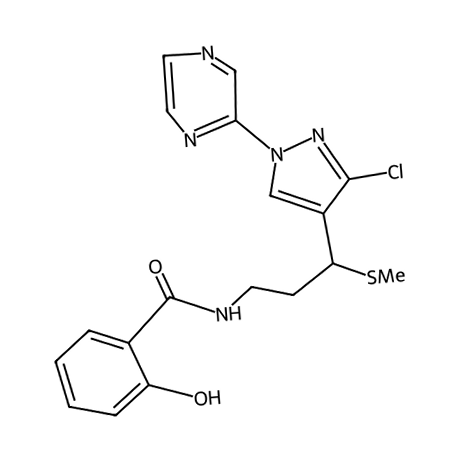 CSC(CCNC(=O)c1ccccc1O)c1cn(-c2cnccn2)nc1Cl